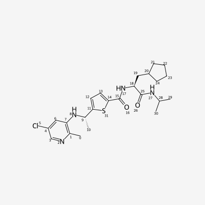 Cc1ncc(Cl)cc1N[C@@H](C)c1ccc(C(=O)N[C@@H](CC2CCCC2)C(=O)NC(C)C)s1